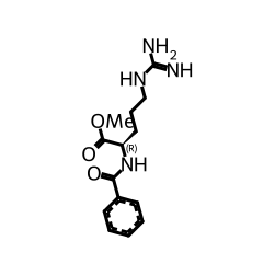 COC(=O)[C@@H](CCCNC(=N)N)NC(=O)c1ccccc1